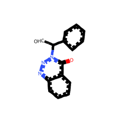 O=CC(c1ccccc1)n1nnc2ccccc2c1=O